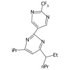 CCCC(CC)c1cc(C(C)C)nc(-c2cnc(C(F)(F)F)nc2)n1